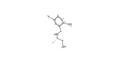 C[C@@H](CO)NCc1cc(F)ccc1O